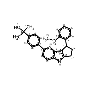 CC(C)(O)c1ccc(-c2ccc3nc4n(c3n2)C(c2ccccc2OC(F)(F)F)CC4)cc1